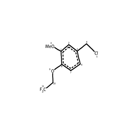 COc1cc(CCl)ccc1OCC(F)(F)F